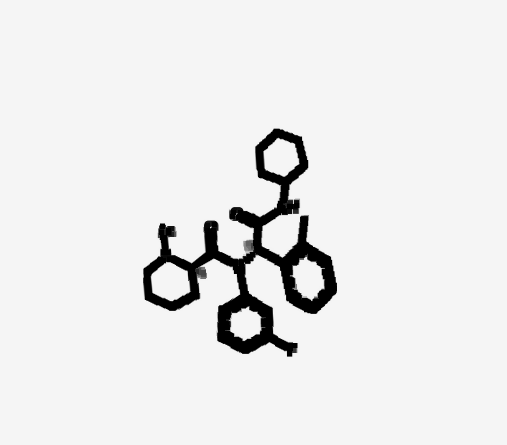 CC(=O)N1CCCC[C@@H]1C(=O)N(c1cccc(F)c1)[C@H](C(=O)NC1CCCCC1)c1ccccc1C